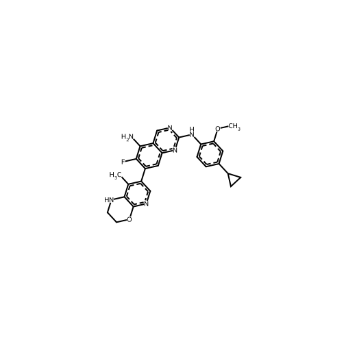 COc1cc(C2CC2)ccc1Nc1ncc2c(N)c(F)c(-c3cnc4c(c3C)NCCO4)cc2n1